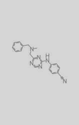 CN(Cc1ccccc1)Cc1ncnc(Nc2ccc(C#N)cc2)n1